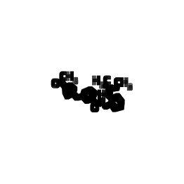 CCN(CC)Cc1ccccc1CNC(=O)c1cccc(Cc2ccc(C(C)=O)cc2)c1